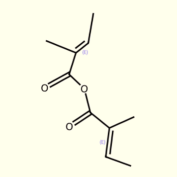 C/C=C(\C)C(=O)OC(=O)/C(C)=C/C